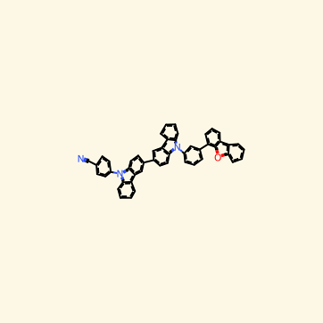 N#Cc1ccc(-n2c3ccccc3c3cc(-c4ccc5c(c4)c4ccccc4n5-c4cccc(-c5cccc6c5oc5ccccc56)c4)ccc32)cc1